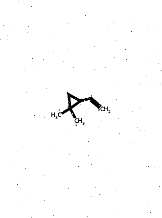 C=CC1CC1(C)C